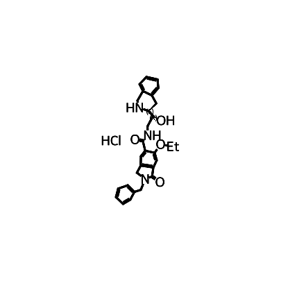 CCOc1cc2c(cc1C(=O)NC[C@@H](O)[C@@H]1Cc3ccccc3CN1)CN(Cc1ccccc1)C2=O.Cl